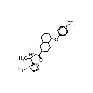 CC(NC(=O)C1CCC2C(CCCC2Oc2ccc(C(F)(F)F)cc2)C1)c1nccn1C